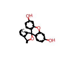 C=C1OC2(c3ccc(O)cc3Oc3cc(O)ccc32)c2ccccc21